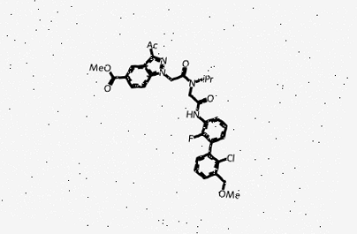 COCc1cccc(-c2cccc(NC(=O)CN(C(=O)Cn3nc(C(C)=O)c4cc(C(=O)OC)ccc43)C(C)C)c2F)c1Cl